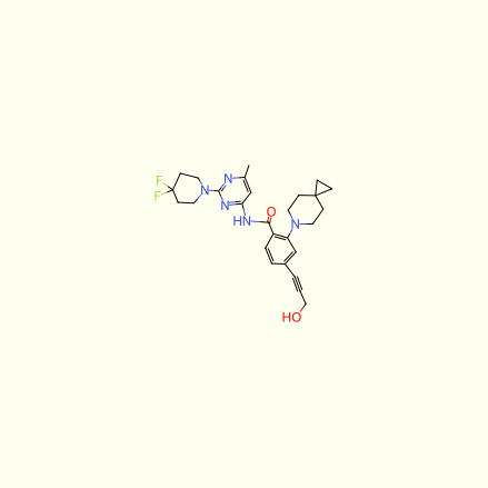 Cc1cc(NC(=O)c2ccc(C#CCO)cc2N2CCC3(CC2)CC3)nc(N2CCC(F)(F)CC2)n1